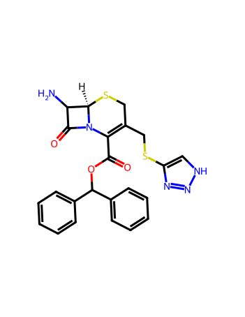 NC1C(=O)N2C(C(=O)OC(c3ccccc3)c3ccccc3)=C(CSc3c[nH]nn3)CS[C@H]12